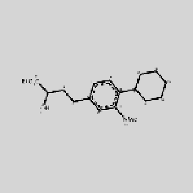 CCOC(=O)C(O)CCc1ccc(C2CCCCC2)c(NC)c1